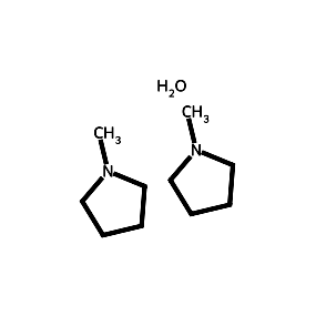 CN1CCCC1.CN1CCCC1.O